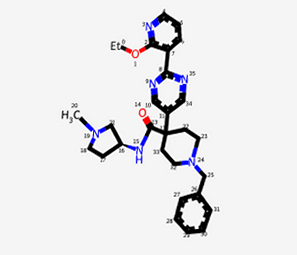 CCOc1ncccc1-c1ncc(C2(C(=O)N[C@H]3CCN(C)C3)CCN(Cc3ccccc3)CC2)cn1